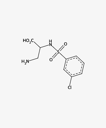 NCC(NS(=O)(=O)c1cccc(Cl)c1)C(=O)O